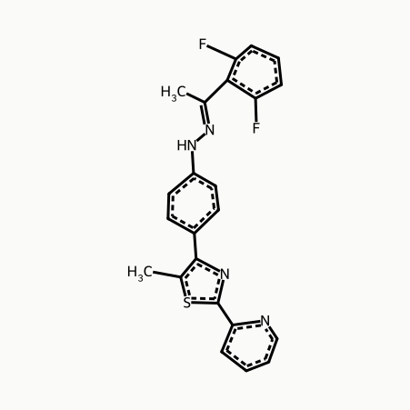 C/C(=N\Nc1ccc(-c2nc(-c3ccccn3)sc2C)cc1)c1c(F)cccc1F